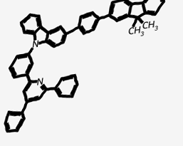 CC1(C)c2ccccc2-c2ccc(-c3ccc(-c4ccc5c(c4)c4ccccc4n5-c4cccc(-c5cc(-c6ccccc6)cc(-c6ccccc6)n5)c4)cc3)cc21